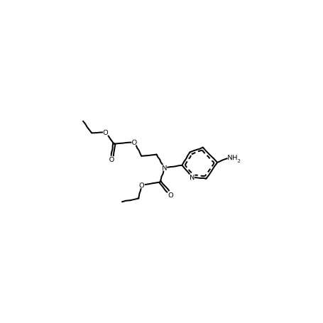 CCOC(=O)OCCN(C(=O)OCC)c1ccc(N)cn1